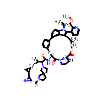 CCn1c(-c2cccnc2[C@H](C)OC)c2c3cc(ccc31)-c1cccc(c1)C[C@H](NC(=O)C(C(C)C)N1CC[C@]3(CCN(C(=O)[C@@H]4NC4C4CC4)C3)C1)C(=O)N1CCC[C@H](N1)C(=O)OCC(C)(C)C2